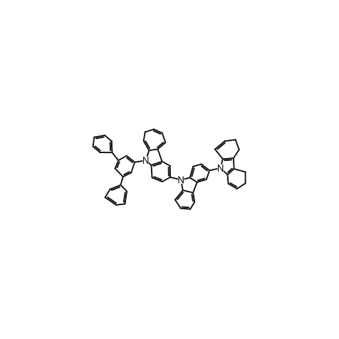 C1=CCC=c2c(c3cc(-n4c5ccccc5c5cc(-n6c7c(c8c6C=CCC8)CCC=C7)ccc54)ccc3n2-c2cc(-c3ccccc3)cc(-c3ccccc3)c2)=C1